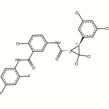 O=C(Nc1ccc(F)cc1F)c1cc(NC(=O)[C@@H]2[C@@H](c3cc(Cl)cc(Cl)c3)C2(Cl)Cl)ccc1Cl